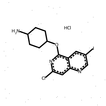 Cl.NC1CCC(Oc2nc(Cl)cc3ncc(I)cc23)CC1